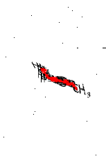 CCCCOc1ccc(S(=O)(=O)N2CCC(NC[C@H](O)COc3cccc4[nH]c(=O)[nH]c34)CC2)cc1